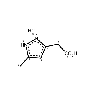 Cc1cc(CC(=O)O)n[nH]1.Cl